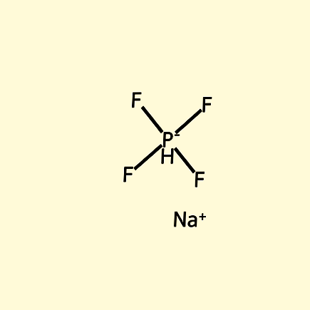 F[PH-](F)(F)F.[Na+]